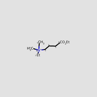 CCOC(=O)CCC[N+](C)(C)CC